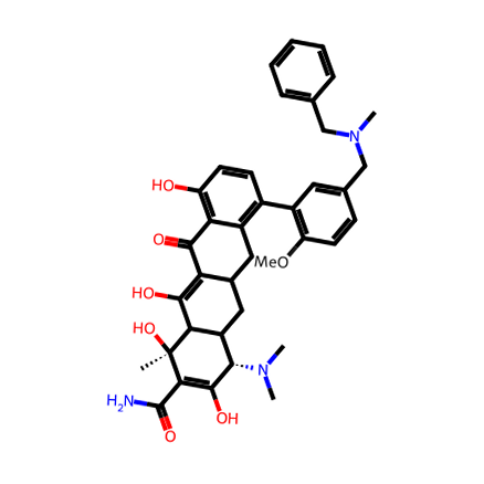 COc1ccc(CN(C)Cc2ccccc2)cc1-c1ccc(O)c2c1CC1CC3C(C(O)=C1C2=O)[C@](C)(O)C(C(N)=O)=C(O)[C@H]3N(C)C